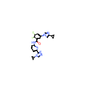 O=C(Nc1cccc(-c2nncn2C2CC2)n1)c1cc(-n2cnc(C3CC3)c2)cc(F)c1F